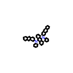 c1ccc(N(c2ccc3cc4ccccc4cc3c2)c2c3ccccc3c(N(c3ccccc3)c3ccc4cc5ccccc5cc4c3)c3ccccc23)cc1